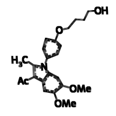 COc1cc2c(C(C)=O)c(C)n(-c3ccc(OCCCCO)cc3)c2cc1OC